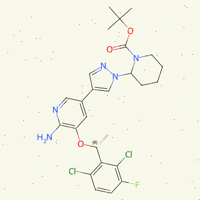 C[C@@H](Oc1cc(-c2cnn(C3CCCCN3C(=O)OC(C)(C)C)c2)cnc1N)c1c(Cl)ccc(F)c1Cl